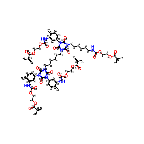 C=C(C)C(=O)OCCOC(=O)NCCCCCCn1c(=O)n(CCCCCCn2c(=O)n(-c3ccc(C)c(NC(=O)OCCOC(=O)C(=C)C)c3)c(=O)n(-c3ccc(C)c(NC(=O)OCCOC(=O)C(=C)C)c3)c2=O)c(=O)n(-c2ccc(C)c(NC(=O)OCCOC(=O)C(=C)C)c2)c1=O